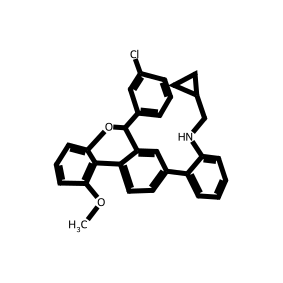 COc1cccc2c1-c1ccc(-c3ccccc3NCC3CC3)cc1C(c1cccc(Cl)c1)O2